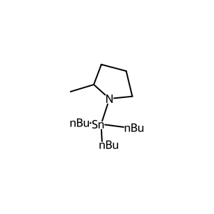 CCC[CH2][Sn]([CH2]CCC)([CH2]CCC)[N]1CCCC1C